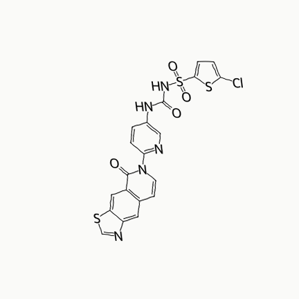 O=C(Nc1ccc(-n2ccc3cc4ncsc4cc3c2=O)nc1)NS(=O)(=O)c1ccc(Cl)s1